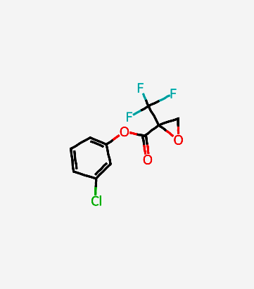 O=C(Oc1cccc(Cl)c1)C1(C(F)(F)F)CO1